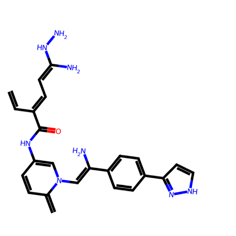 C=C/C(=C\C=C(/N)NN)C(=O)NC1=CN(/C=C(\N)c2ccc(-c3cc[nH]n3)cc2)C(=C)C=C1